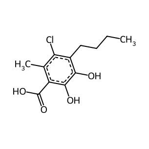 CCCCc1c(O)c(O)c(C(=O)O)c(C)c1Cl